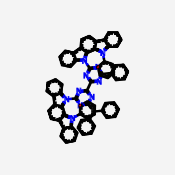 c1ccc(B(c2ccccc2)c2nc(-c3nc(-c4ccccc4)nc(-n4c5ccccc5c5ccc6c7ccccc7n(-c7ccccc7)c6c54)n3)nc(-n3c4ccccc4c4ccc5c6ccccc6n(-c6ccccc6)c5c43)n2)cc1